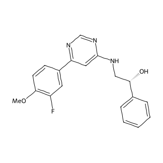 COc1ccc(-c2cc(NC[C@H](O)c3ccccc3)ncn2)cc1F